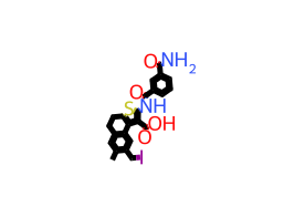 Cc1cc2c(cc1CI)-c1c(sc(NC(=O)c3cccc(C(N)=O)c3)c1C(=O)O)CC2